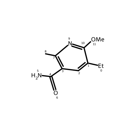 CCc1cc(C(N)=O)c(C)nc1OC